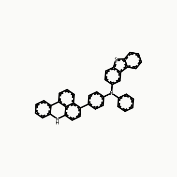 c1ccc(N(c2ccc(-c3ccc4c5c(cccc35)-c3ccccc3N4)cc2)c2ccc3sc4ccccc4c3c2)cc1